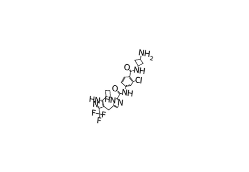 NC1CC(NC(=O)c2ccc(NC(=O)c3ncc(Cc4c(C(F)(F)F)n[nH]c4C4CCC4)[nH]3)cc2Cl)C1